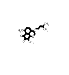 CC(C)=CCC[C@@H]1COC2=C(C)C(=O)C(=O)C3=C2[C@H]1CC[C@H]3C